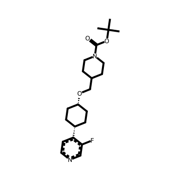 CC(C)(C)OC(=O)N1CCC(CO[C@H]2CC[C@@H](c3ccncc3F)CC2)CC1